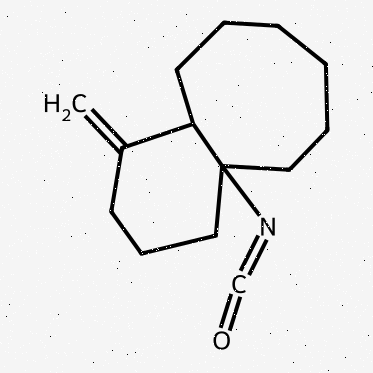 C=C1CCCC2(N=C=O)CCCCCCC12